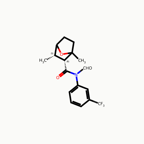 C[C@@H]1C2CCC(C)(O2)[C@@H]1C(=O)N(C=O)c1cccc(C(F)(F)F)c1